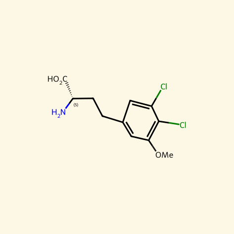 COc1cc(CC[C@H](N)C(=O)O)cc(Cl)c1Cl